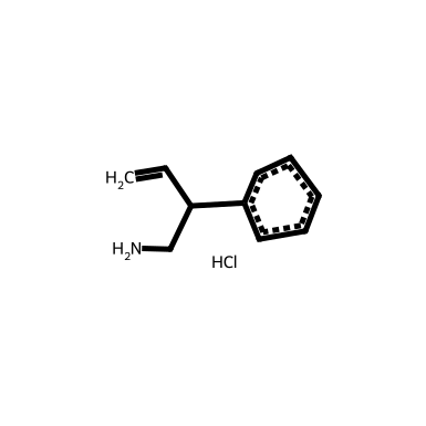 C=CC(CN)c1ccccc1.Cl